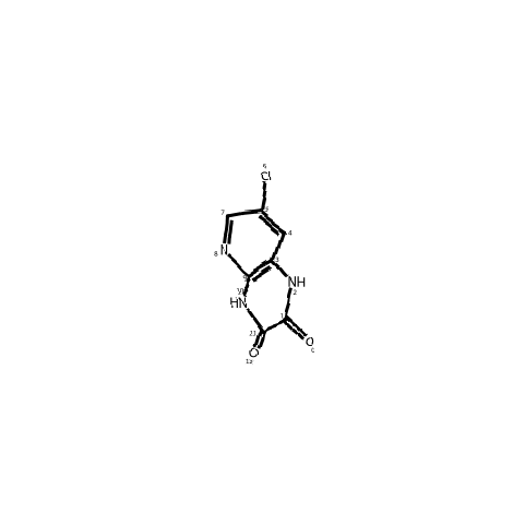 O=c1[nH]c2cc(Cl)cnc2[nH]c1=O